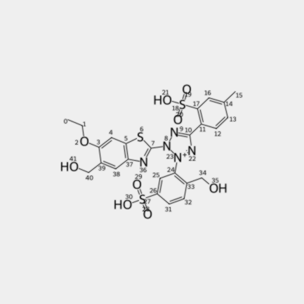 CCOc1cc2sc(-n3nc(-c4ccc(C)cc4S(=O)(=O)O)n[n+]3-c3cc(S(=O)(=O)O)ccc3CO)nc2cc1CO